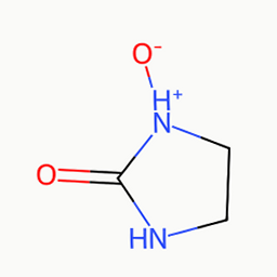 O=C1NCC[NH+]1[O-]